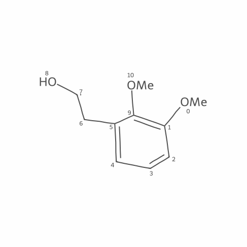 COc1cccc(C[CH]O)c1OC